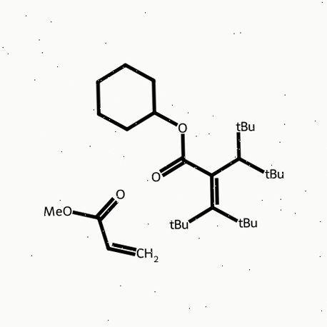 C=CC(=O)OC.CC(C)(C)C(=C(C(=O)OC1CCCCC1)C(C(C)(C)C)C(C)(C)C)C(C)(C)C